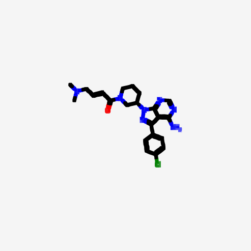 CN(C)C/C=C/C(=O)N1CCC[C@@H](n2nc(-c3ccc(Cl)cc3)c3c(N)ncnc32)C1